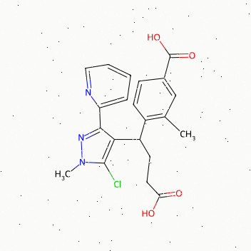 Cc1cc(C(=O)O)ccc1C(CCC(=O)O)c1c(-c2ccccn2)nn(C)c1Cl